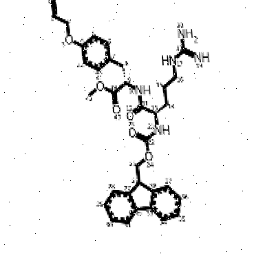 C=CCOc1ccc(C[C@H](NC(=O)[C@@H](CCCNC(=N)N)NC(=O)OCC2c3ccccc3-c3ccccc32)C(=O)OC)cc1